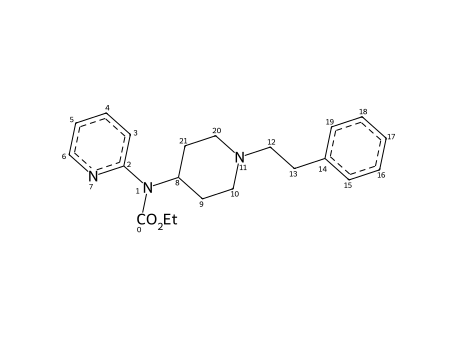 CCOC(=O)N(c1ccccn1)C1CCN(CCc2ccccc2)CC1